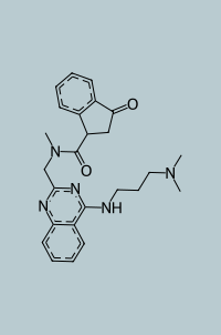 CN(C)CCCNc1nc(CN(C)C(=O)C2CC(=O)c3ccccc32)nc2ccccc12